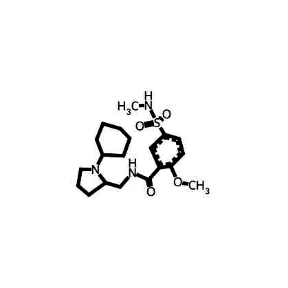 CNS(=O)(=O)c1ccc(OC)c(C(=O)NCC2CCCN2C2CCCCC2)c1